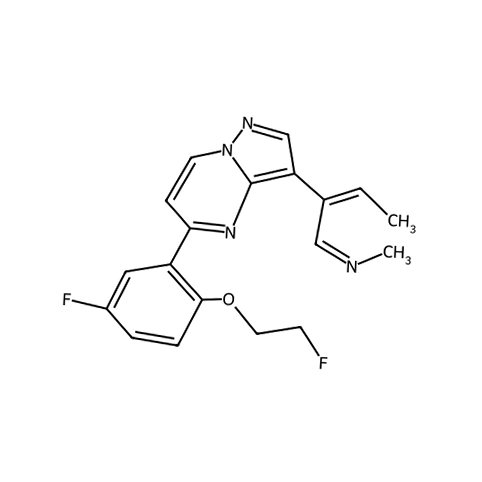 C/C=C(\C=N/C)c1cnn2ccc(-c3cc(F)ccc3OCCF)nc12